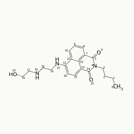 CCCCN1C(=O)c2cccc3c(NCCNCCO)ccc(c23)C1=O